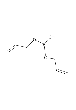 C=CCOP(O)OCC=C